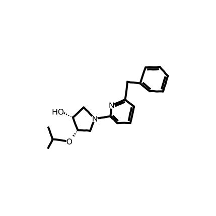 CC(C)O[C@H]1CN(c2cccc(Cc3ccccc3)n2)C[C@H]1O